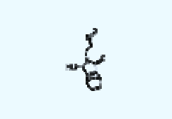 O=NCCN1C(=O)C2C3C=CC(O3)C2C1O